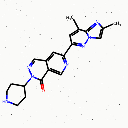 Cc1cn2nc(-c3cc4cnn(C5CCNCC5)c(=O)c4cn3)cc(C)c2n1